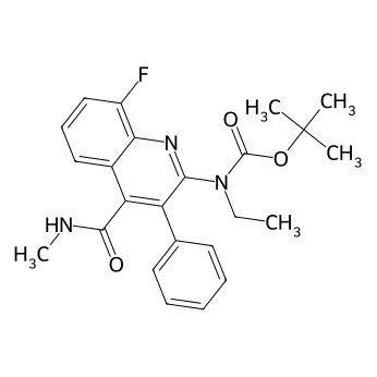 CCN(C(=O)OC(C)(C)C)c1nc2c(F)cccc2c(C(=O)NC)c1-c1ccccc1